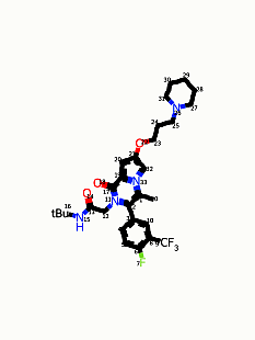 Cc1c(-c2ccc(F)c(C(F)(F)F)c2)n(CC(=O)NC(C)(C)C)c(=O)c2cc(OCCCN3CCCCC3)cn12